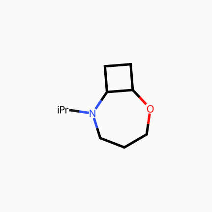 CC(C)N1CCCOC2CCC21